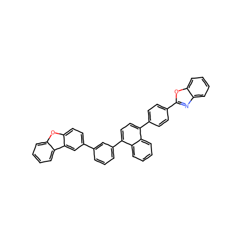 c1cc(-c2ccc3oc4ccccc4c3c2)cc(-c2ccc(-c3ccc(-c4nc5ccccc5o4)cc3)c3ccccc23)c1